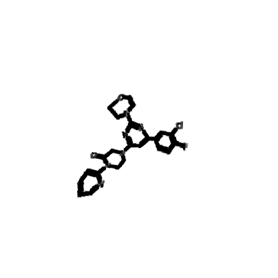 O=C1CN(c2cc(-c3ccc(F)c(Cl)c3)nc(N3CCOCC3)n2)CCN1c1ccccn1